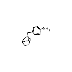 Nc1ccc(CC2CC3CCN2CC3)cc1